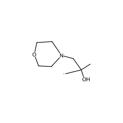 [CH2]C(C)(O)CN1CCOCC1